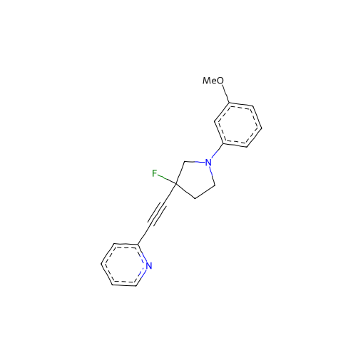 COc1cccc(N2CCC(F)(C#Cc3ccccn3)C2)c1